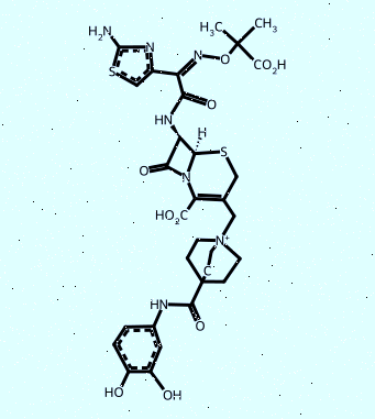 CC(C)(O/N=C(\C(=O)N[C@@H]1C(=O)N2C(C(=O)O)=C(C[N+]34CCC(C(=O)Nc5ccc(O)c(O)c5)(CC3)CC4)CS[C@H]12)c1csc(N)n1)C(=O)O